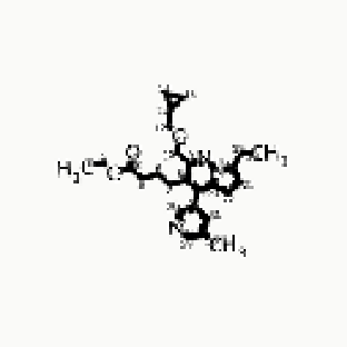 CCOC(=O)CCCc1c(COCC2CC2)nn2c(CC)ccc2c1-c1cncc(C)c1